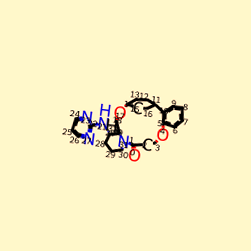 O=C1CCOc2ccccc2C2CCC(CC2)OC[C@H]2[C@@H](Nc3ncccn3)CCCN12